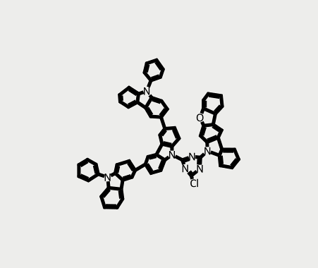 Clc1nc(-n2c3ccc(-c4ccc5c(c4)c4ccccc4n5-c4ccccc4)cc3c3cc(-c4ccc5c(c4)c4ccccc4n5-c4ccccc4)ccc32)nc(-n2c3ccccc3c3cc4c(cc32)oc2ccccc24)n1